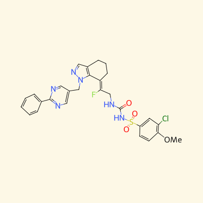 COc1ccc(S(=O)(=O)NC(=O)NCC(F)=C2CCCc3cnn(Cc4cnc(-c5ccccc5)nc4)c32)cc1Cl